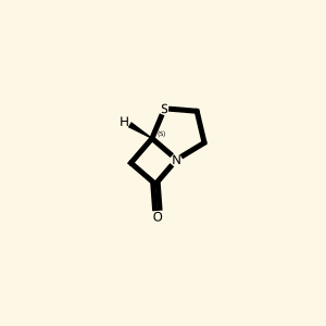 O=C1C[C@@H]2SCCN12